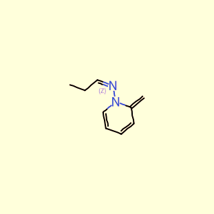 C=C1C=CC=CN1/N=C\CC